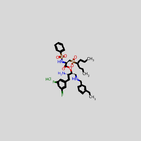 CCCC(CCC)S(=O)(=O)C[C@H](NS(=O)(=O)c1ccccc1)C(=O)O[C@H](CNCc1cccc(CC)c1)[C@@H](N)Cc1cc(F)cc(F)c1.Cl